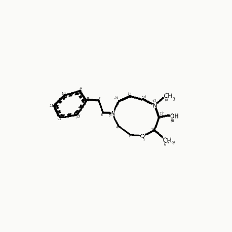 CC1OCCN(CCc2ccccc2)CCCN(C)C1O